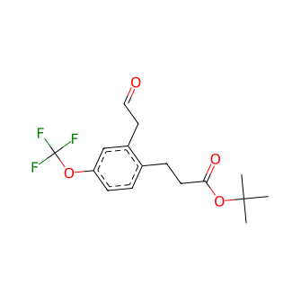 CC(C)(C)OC(=O)CCc1ccc(OC(F)(F)F)cc1CC=O